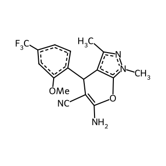 COc1cc(C(F)(F)F)ccc1C1C(C#N)=C(N)Oc2c1c(C)nn2C